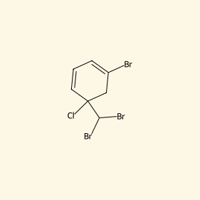 ClC1(C(Br)Br)C=CC=C(Br)C1